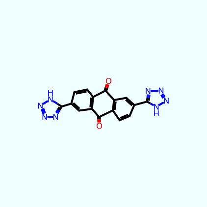 O=C1c2ccc(-c3nnn[nH]3)cc2C(=O)c2ccc(-c3nnn[nH]3)cc21